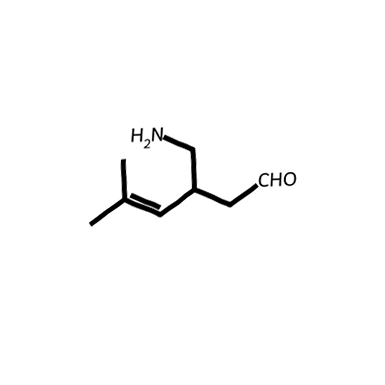 CC(C)=CC(CN)CC=O